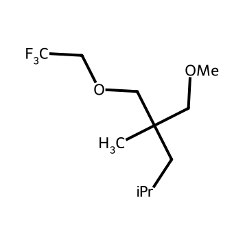 COCC(C)(COCC(F)(F)F)CC(C)C